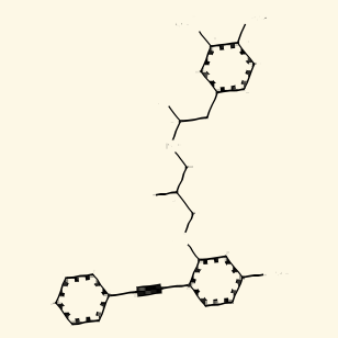 COc1ccc(C#Cc2ccccc2)c(OCC(O)CNC(C)Cc2ccc(OC)c(OC)c2)c1